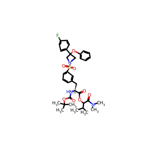 CC(C)C(OC(=O)[C@H](Cc1cccc(S(=O)(=O)N2CC(Oc3ccccc3)(c3ccc(F)cc3)C2)c1)NC(=O)OC(C)(C)C)C(=O)N(C)C